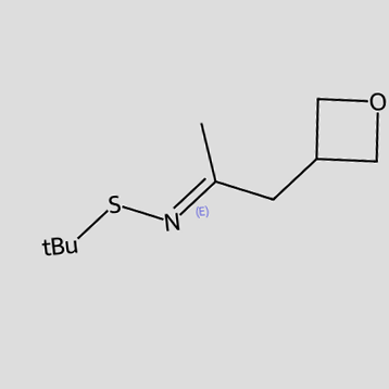 C/C(CC1COC1)=N\SC(C)(C)C